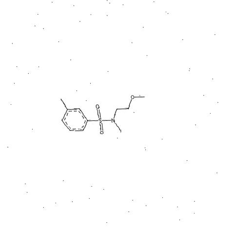 COCCN(I)S(=O)(=O)c1cccc(C)c1